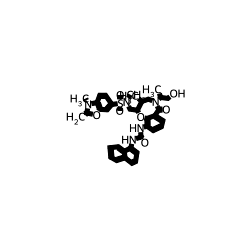 C=C1Oc2cc(S(=O)(=O)N(C)CC3Oc4c(NC(=O)Nc5cccc6ccccc56)cccc4C(=O)N(C(C)CO)CC3C)ccc2N1C